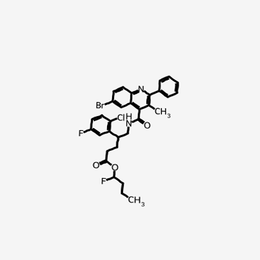 CCCC(F)OC(=O)CCC(CNC(=O)c1c(C)c(-c2ccccc2)nc2ccc(Br)cc12)c1cc(F)ccc1Cl